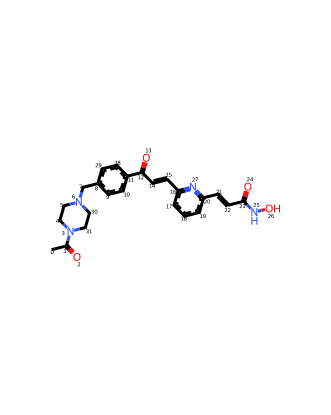 CC(=O)N1CCN(Cc2ccc(C(=O)/C=C/c3cccc(/C=C/C(=O)NO)n3)cc2)CC1